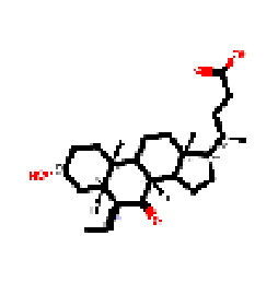 C/C=C1/C(=O)[C@H]2C3CC[C@H]([C@H](C)CCC(=O)O)[C@@]3(C)CCC2[C@@]2(C)CC[C@@H](O)C[C@@H]12